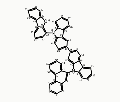 c1ccc2c(c1)cc(-n1c3ccccc3c3ccc(-c4ccc5c(c4)c4ccccc4n5-c4cccc5c4oc4ccccc45)cc31)c1ccccc12